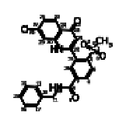 CS(=O)(=O)c1ccc(C(=O)NCc2ccccc2)cc1-c1cc(=O)c2ccc(Cl)cc2[nH]1